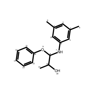 Cc1cc(C)cc(NC(Oc2ccccc2)C(C)O)c1